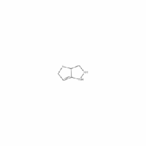 C1=C2NNCC2SC1